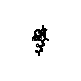 C=C(C)OC(=O)O[C@@H]1[C][C@@]2(O)[C@H](C)CC[C@@H](C(C)C)[C@H]2C=C1C